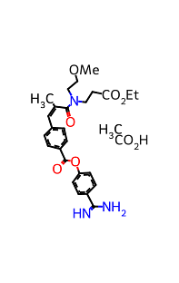 CC(=O)O.CCOC(=O)CCN(CCOC)C(=O)C(C)=Cc1ccc(C(=O)Oc2ccc(C(=N)N)cc2)cc1